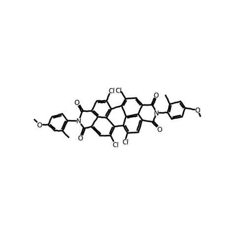 COc1ccc(N2C(=O)c3cc(Cl)c4c5c(Cl)cc6c7c(cc(Cl)c(c8c(Cl)cc(c3c48)C2=O)c75)C(=O)N(c2ccc(OC)cc2C)C6=O)c(C)c1